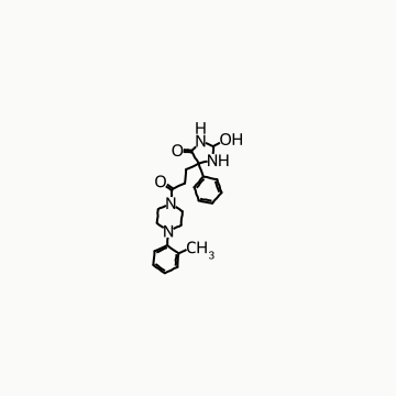 Cc1ccccc1N1CCN(C(=O)CCC2(c3ccccc3)NC(O)NC2=O)CC1